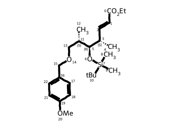 CCOC(=O)C=C[C@H](C)[C@@H](O[Si](C)(C)C(C)(C)C)[C@@H](C)COCc1ccc(OC)cc1